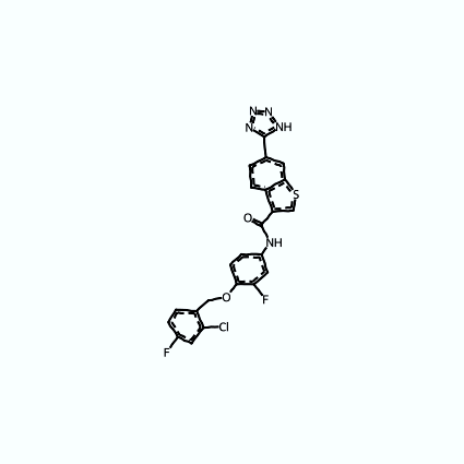 O=C(Nc1ccc(OCc2ccc(F)cc2Cl)c(F)c1)c1csc2cc(-c3nnn[nH]3)ccc12